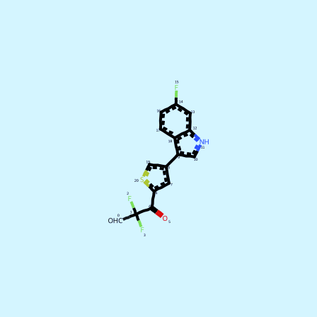 O=CC(F)(F)C(=O)c1cc(-c2c[nH]c3cc(F)ccc23)cs1